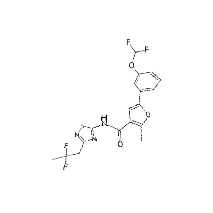 Cc1oc(-c2cccc(OC(F)F)c2)cc1C(=O)Nc1nc(CC(C)(F)F)ns1